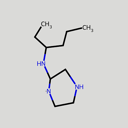 CCCC(CC)NC1CNCC[N]1